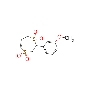 COc1cccc(C2CS(=O)(=O)C=CCS2(=O)=O)c1